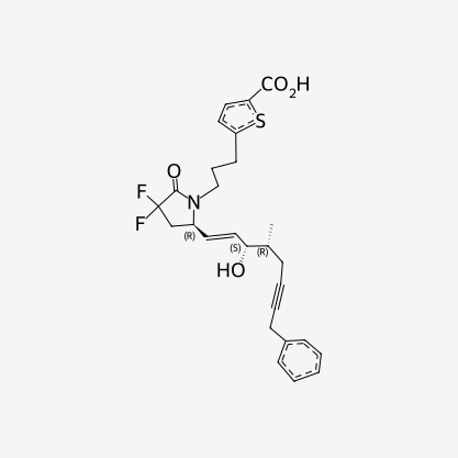 C[C@H](CC#CCc1ccccc1)[C@H](O)C=C[C@H]1CC(F)(F)C(=O)N1CCCc1ccc(C(=O)O)s1